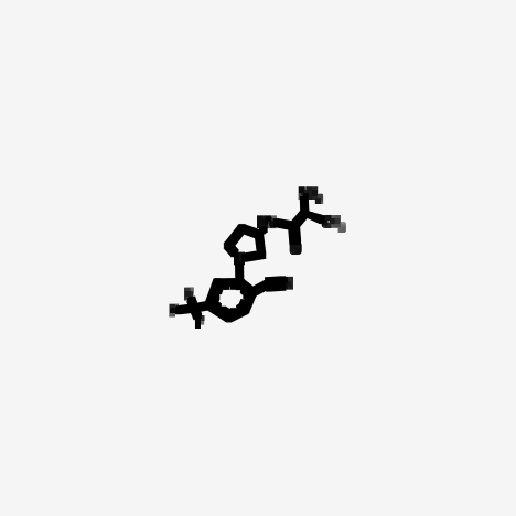 C[C@H](N)C(=O)N[C@H]1CCN(c2cc(C(F)(F)F)ccc2C#N)C1